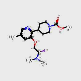 Cc1cnc(C2CCN(C(=O)OC(C)(C)C)CC2)c(OC[C@@H](I)N(C)C)c1